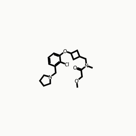 COCC(=O)N(C)CC1CC(Oc2cccc(CN3CCCC3)c2Cl)C1